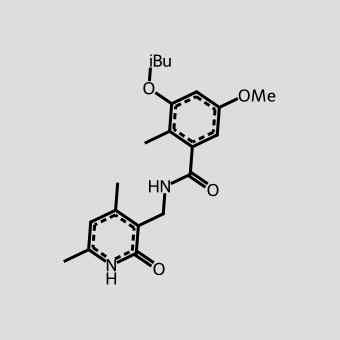 CCC(C)Oc1cc(OC)cc(C(=O)NCc2c(C)cc(C)[nH]c2=O)c1C